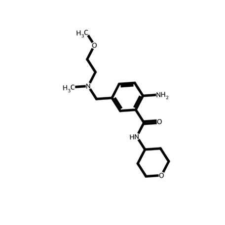 COCCN(C)Cc1ccc(N)c(C(=O)NC2CCOCC2)c1